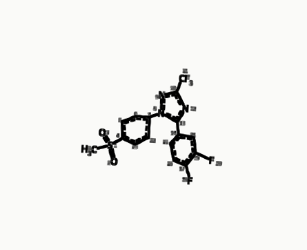 CS(=O)(=O)c1ccc(-n2nc(C(F)(F)F)nc2-c2ccc(F)c(F)c2)cc1